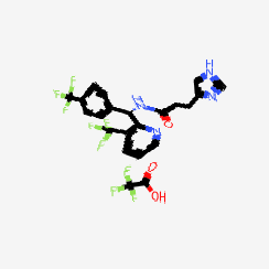 O=C(CCc1c[nH]cn1)N[C@@H](c1ccc(C(F)(F)F)cc1)c1ncccc1C(F)(F)F.O=C(O)C(F)(F)F